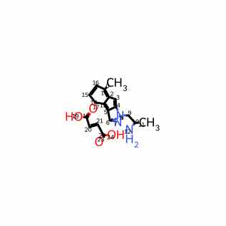 CC1=C2C=c3c(cnn3CC(C)N)=C2CC=C1.O=C(O)C=CC(=O)O